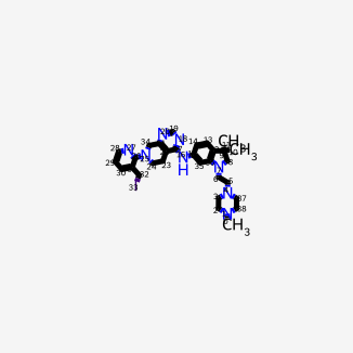 CN1CCN(CCN2CC(C)(C)c3ccc(Nc4ncnc5c4CCN(c4ncccc4CI)C5)cc32)CC1